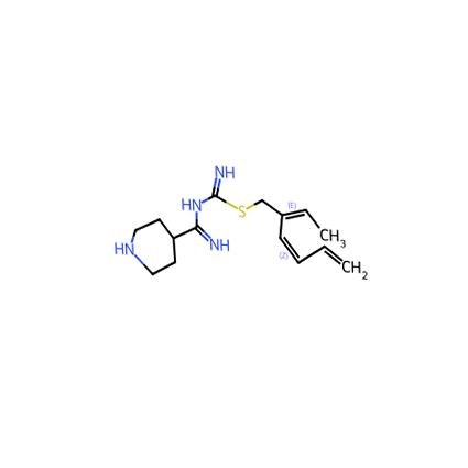 C=C/C=C\C(=C/C)CSC(=N)NC(=N)C1CCNCC1